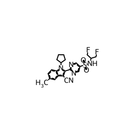 Cc1ccc2c(c1)c(C#N)c(-c1ncc(S(=O)(=O)NC(CF)CF)cn1)n2C1CCCC1